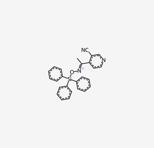 C/C(=N\O[Si](c1ccccc1)(c1ccccc1)c1ccccc1)c1ccncc1C#N